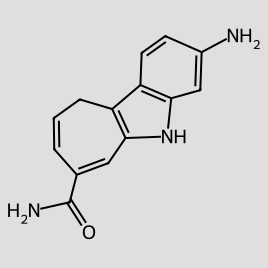 NC(=O)C1=Cc2[nH]c3cc(N)ccc3c2CC=C1